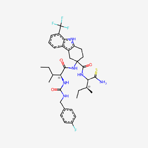 CCC(C)[C@H](NC(=O)NCc1ccc(F)cc1)C(=O)NC1(C(=O)NC(C(N)=S)[C@@H](C)CC)CCc2[nH]c3c(C(F)(F)F)cccc3c2C1